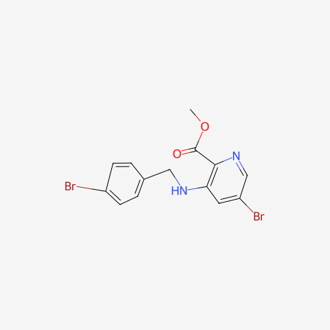 COC(=O)c1ncc(Br)cc1NCc1ccc(Br)cc1